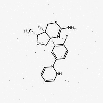 C[C@H]1OC[C@]2(c3cc(N4C=CC=CN4)ccc3F)N=C(N)SC[C@H]12